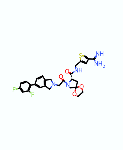 N=C(N)c1csc(CNC(=O)[C@@H]2CC3(CN2C(=O)CN2Cc4ccc(-c5ccc(F)cc5F)cc4C2)OCCO3)c1